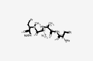 CNC(=O)C(CC(C)C)N(C)C(=O)[C@@H](C)NC(C)C(=O)NC(=O)[C@H](CC(C)C)NC